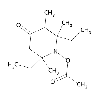 CCC1(C)CC(=O)C(C)C(C)(CC)N1OC(C)=O